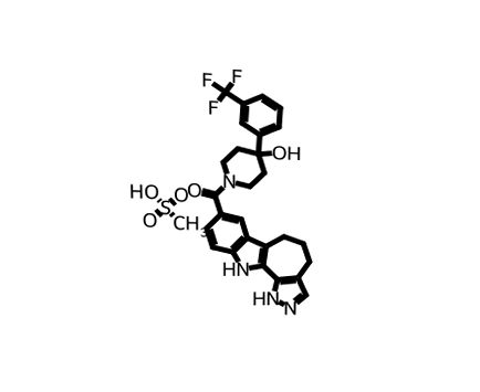 CS(=O)(=O)O.O=C(c1ccc2[nH]c3c(c2c1)CCCc1cn[nH]c1-3)N1CCC(O)(c2cccc(C(F)(F)F)c2)CC1